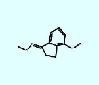 CON=C1CCc2c(SC)cccc21